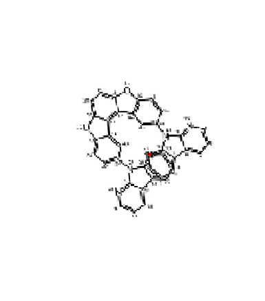 c1cnc2c(c1)c1cccnc1n2-c1ccc2oc3ccc4oc5ccc(-n6c7ncccc7c7cccnc76)cc5c4c3c2c1